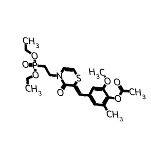 CCOP(=O)(CCN1C=CSC(=Cc2cc(C)c(OC(C)=O)c(OC)c2)C1=O)OCC